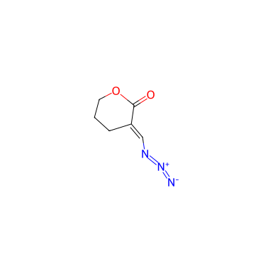 [N-]=[N+]=NC=C1CCCOC1=O